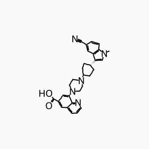 Cn1cc([C@H]2CC[C@H](N3CCN(c4cc(C(=O)O)cc5cccnc45)CC3)CC2)c2cc(C#N)ccc21